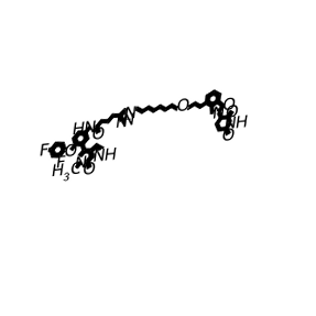 Cn1cc(-c2cc(NC(=O)CCCc3cn(CCCCCCCCOCCCc4cccc5c4CN(C4CCC(=O)NC4=O)C5=O)nn3)ccc2Oc2ccc(F)cc2F)c2cc[nH]c2c1=O